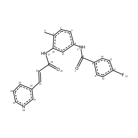 Cc1ccc(NC(=O)c2ccc(F)cc2)cc1NC(=O)C=Cc1cccnc1